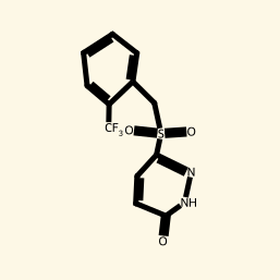 O=c1ccc(S(=O)(=O)Cc2ccccc2C(F)(F)F)n[nH]1